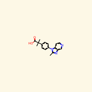 Cc1nc2cnccc2n1-c1ccc(C(C)(C)C(=O)O)cc1